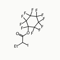 CCC(I)C(=O)OC1(F)C(F)(F)C(F)(F)C(F)(F)C(F)(F)C1(F)F